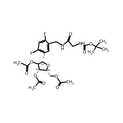 CC(=O)OC[C@H]1O[C@@H](c2cc(CNC(=O)CNC(=O)OC(C)(C)C)c(F)cc2F)C(OC(C)=O)[C@H]1OC(C)=O